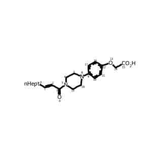 CCCCCCCC=CC(=O)N1CCN(c2ccc(OCC(=O)O)cc2)CC1